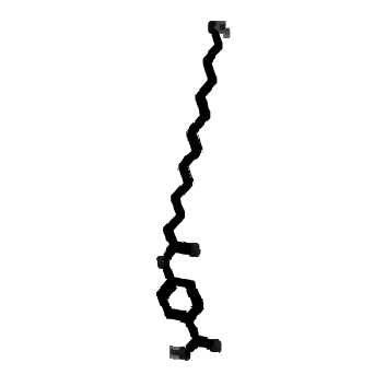 CCCCCCCCCCCCCC(=O)Oc1ccc(C(=O)O)cc1